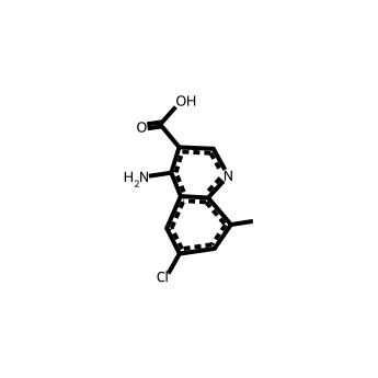 Cc1cc(Cl)cc2c(N)c(C(=O)O)cnc12